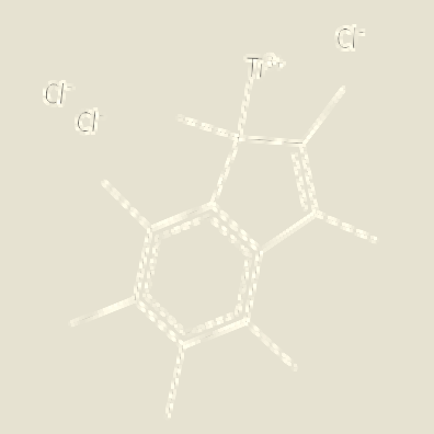 CC1=C(C)[C](C)([Ti+3])c2c(C)c(C)c(C)c(C)c21.[Cl-].[Cl-].[Cl-]